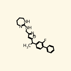 CC(c1ccc(-c2ccccc2)c(F)c1)c1cc(CNC2=NCCCCN2)no1